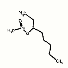 CCCCCC(CC)O[PH](C)=O